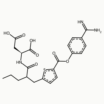 CCCC(Cc1ccc(C(=O)Oc2ccc(C(=N)N)cc2)s1)C(=O)N[C@@H](CC(=O)O)C(=O)O